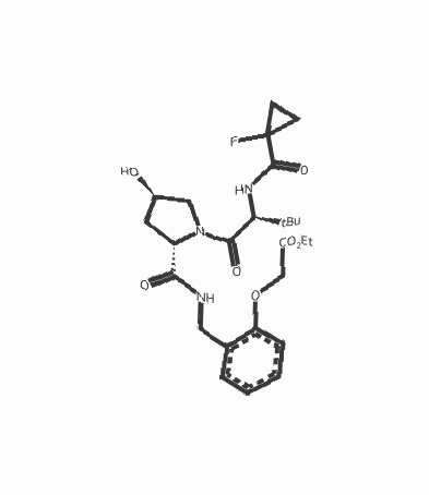 CCOC(=O)COc1ccccc1CNC(=O)[C@@H]1C[C@@H](O)CN1C(=O)[C@@H](NC(=O)C1(F)CC1)C(C)(C)C